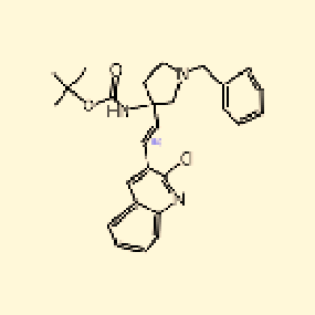 CC(C)(C)OC(=O)NC1(/C=C/c2cc3ccccc3nc2Cl)CCN(Cc2ccccc2)C1